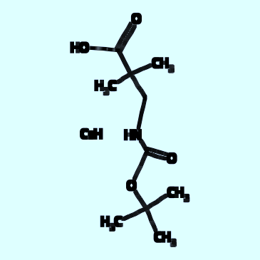 CC(C)(C)OC(=O)NCC(C)(C)C(=O)O.[CsH]